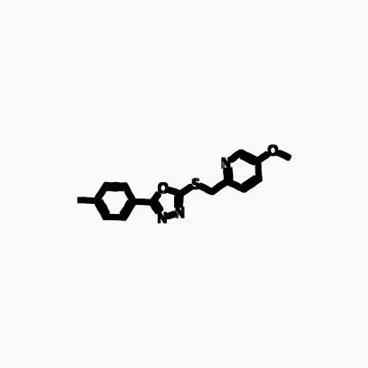 COc1ccc(CSc2nnc(-c3ccc(C)cc3)o2)nc1